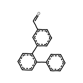 O=Cc1cccc(-c2ccccc2-c2ccccc2)c1